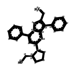 CCc1nn2c(-c3ccccc3)cc(N3CCC[C@H]3CO)nc2c1-c1ccccc1